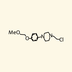 COCCOc1ccc(N2CCN(CCCl)CC2)cc1